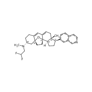 CN(CC(F)F)[C@@H]1CCC2=CC3=CC[C@]4(C)[C@@H](c5ccc6ccncc6c5)CC[C@H]4[C@@]34CC[C@]2(C1)O4